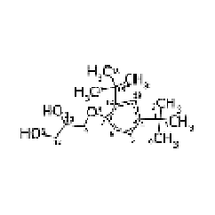 CC(C)(C)c1ccc(OCC(O)CO)c(C(C)(C)C)c1